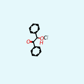 O=C(c1ccccc1)C(O)c1ccccc1.[C]